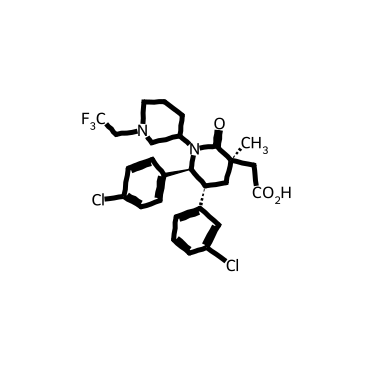 C[C@]1(CC(=O)O)C[C@H](c2cccc(Cl)c2)[C@@H](c2ccc(Cl)cc2)N(C2CCCN(CC(F)(F)F)C2)C1=O